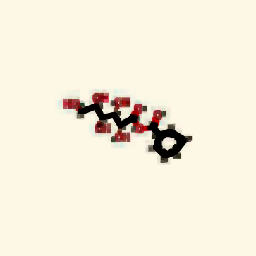 O=C(OC(=O)[C@H](O)[C@@H](O)[C@H](O)[C@H](O)CO)c1ccccc1